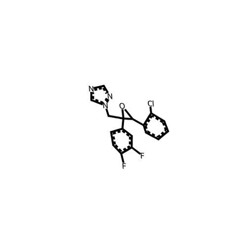 Fc1ccc(C2(Cn3cncn3)OC2c2ccccc2Cl)cc1F